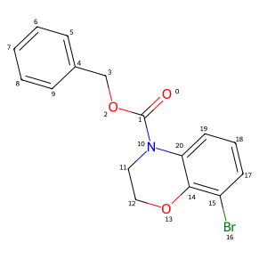 O=C(OCc1ccccc1)N1CCOc2c(Br)cccc21